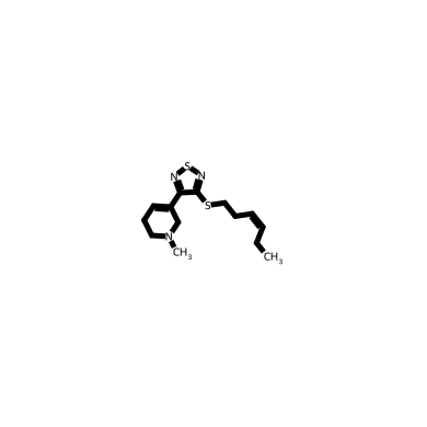 CC/C=C\CCSc1nsnc1C1=CCCN(C)C1